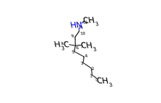 CCCCCCC(C)(C)CCNC